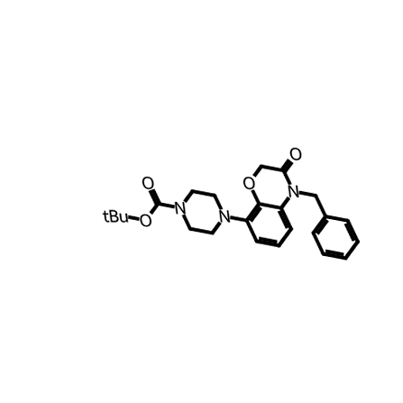 CC(C)(C)OC(=O)N1CCN(c2cccc3c2OCC(=O)N3Cc2ccccc2)CC1